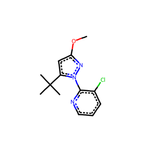 COc1cc(C(C)(C)C)n(-c2ncccc2Cl)n1